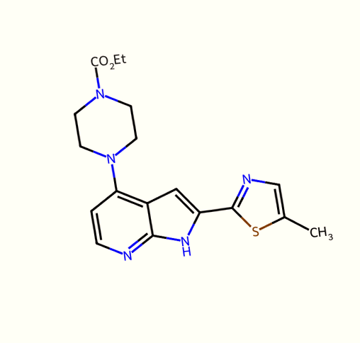 CCOC(=O)N1CCN(c2ccnc3[nH]c(-c4ncc(C)s4)cc23)CC1